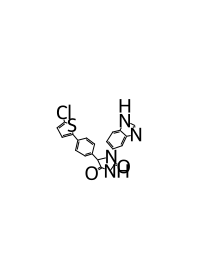 O=C1NC(=O)N(c2ccc3[nH]cnc3c2)C1c1ccc(-c2ccc(Cl)s2)cc1